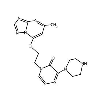 Cc1cc(OCCn2ccnc(N3CCNCC3)c2=O)n2ncnc2n1